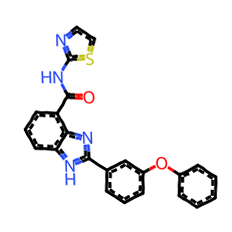 O=C(Nc1nccs1)c1cccc2[nH]c(-c3cccc(Oc4ccccc4)c3)nc12